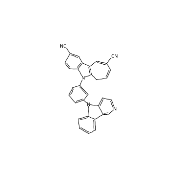 N#CC1=Cc2c(n(-c3cccc(-n4c5ccccc5c5cnccc54)c3)c3ccc(C#N)cc23)CC=C1